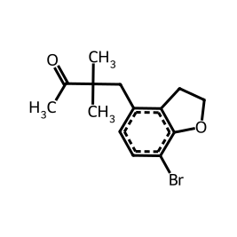 CC(=O)C(C)(C)Cc1ccc(Br)c2c1CCO2